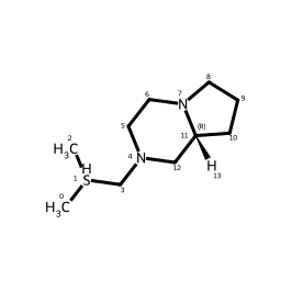 C[SH](C)CN1CCN2CCC[C@@H]2C1